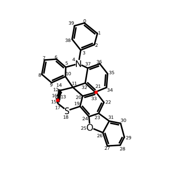 c1ccc(N2c3ccccc3C3(c4ccccc4Sc4c3ccc3c4oc4ccccc43)c3ccccc32)cc1